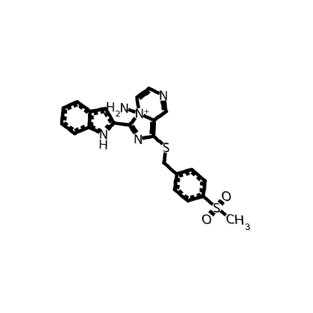 CS(=O)(=O)c1ccc(CSC2=C3C=NC=C[N+]3(N)C(c3cc4ccccc4[nH]3)=N2)cc1